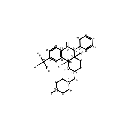 CN1CCN(C[C@H]2CC[C@@H]3[C@H](O2)c2cc(C(F)(F)F)ccc2N[C@H]3C2C=CC=CC2)CC1